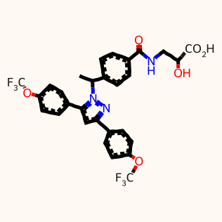 CC(c1ccc(C(=O)NCC(O)C(=O)O)cc1)n1nc(-c2ccc(OC(F)(F)F)cc2)cc1-c1ccc(OC(F)(F)F)cc1